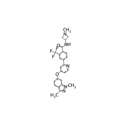 Cc1nn(C)c2cc(Oc3ccnc(-c4ccc(C(=O)NC5CN(C)C5)c(C(F)(F)F)c4)c3)ccc12